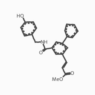 COC(=O)/C=C/c1cc(C(=O)NCc2ccc(O)cc2)cc(-c2ccccc2)c1